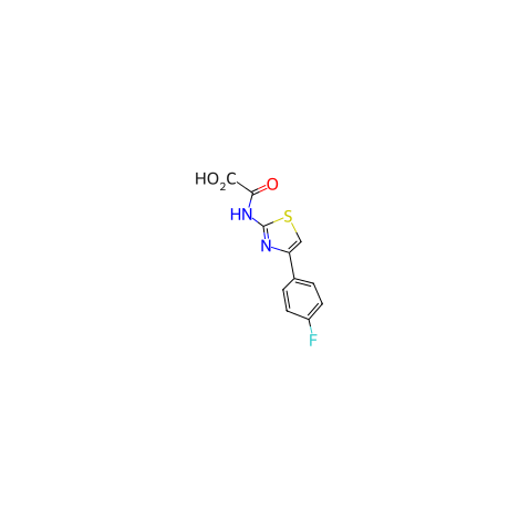 O=C(O)C(=O)Nc1nc(-c2ccc(F)cc2)cs1